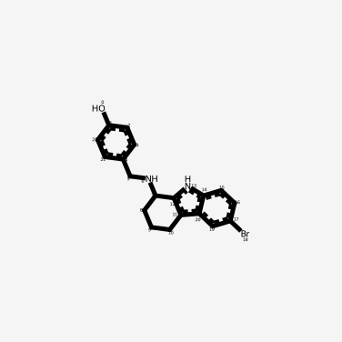 Oc1ccc(CNC2CCCc3c2[nH]c2ccc(Br)cc32)cc1